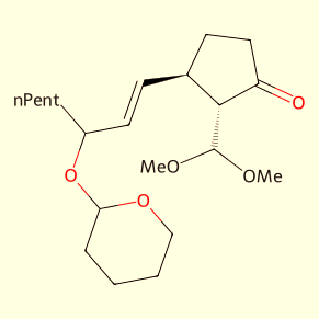 CCCCCC(C=C[C@H]1CCC(=O)[C@@H]1C(OC)OC)OC1CCCCO1